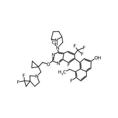 CCc1c(F)ccc2cc(O)cc(-c3c(C(F)(F)F)cc4c(N5CC6CCC(C5)N6)nc(OCC5(CN6CCC7(C6)CC7(F)F)CC5)nc4c3F)c12